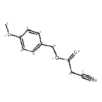 COc1ccc(COC(=O)CC#N)cc1